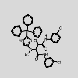 CCN(c1c[nH]c(C(c2ccccc2)(c2ccccc2)c2ccccc2)n1)C(C(=O)Nc1cccc(Cl)c1)C(Cl)C(=O)Nc1cccc(Cl)c1